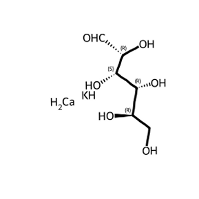 O=C[C@H](O)[C@@H](O)[C@H](O)[C@H](O)CO.[CaH2].[KH]